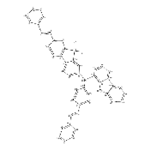 CC1(C)c2cc(/C=C/c3ccccc3)ccc2-c2ccc(N(c3ccc(/C=C/c4ccccc4)cc3)c3cccc4c3oc3ccccc34)cc21